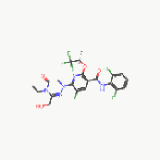 CCN(C=O)/C(CO)=N\N(C)c1nc(O[C@@H](C)C(F)(F)F)c(C(=O)Nc2c(F)cccc2Cl)cc1F